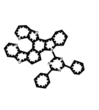 c1ccc(-c2nc(-c3ccccc3)nc(-n3c4ccccc4c4c5oc6cccnc6c5c5c(ccc6oc7cccnc7c65)c43)n2)cc1